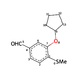 CSc1ccc(C=O)cc1OC1CCCC1